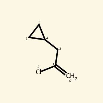 C=C(Cl)[CH]C1CC1